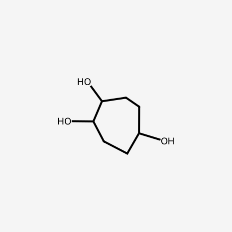 OC1CCC(O)C(O)CC1